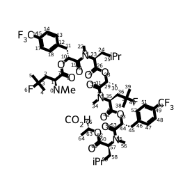 CN[C@@H](CC(C)(C)F)C(=O)O[C@H](Cc1ccc(C(F)(F)F)cc1)C(=O)N(C)[C@@H](CC(C)C)C(=O)O[C@H](C)C(=O)N(C)[C@@H](CC(C)(C)F)C(=O)O[C@H](Cc1ccc(C(F)(F)F)cc1)C(=O)N(C)[C@@H](CC(C)C)C(=O)O[C@H](C)C(=O)O